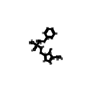 Cn1c(COP(=O)(O)NCc2ccccc2)cnc1[N+](=O)[O-]